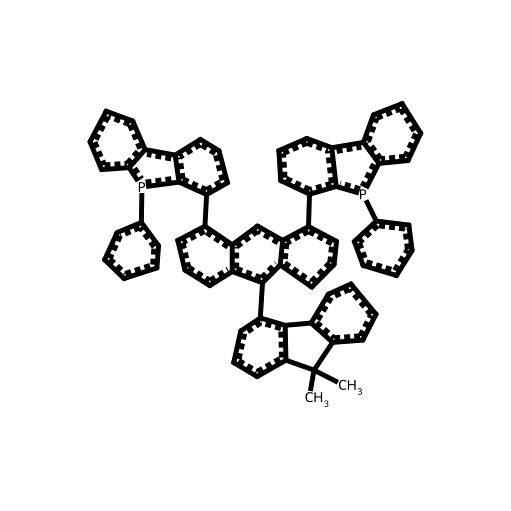 CC1(C)c2ccccc2-c2c(-c3c4cccc(-c5cccc6c7ccccc7p(-c7ccccc7)c56)c4cc4c(-c5cccc6c7ccccc7p(-c7ccccc7)c56)cccc34)cccc21